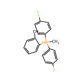 Cc1ccccc1[PH](C)(c1ccc(F)cc1)c1ccc(F)cc1